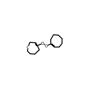 C1=C(OOC2=CCCCCCC2)CCCCCC1